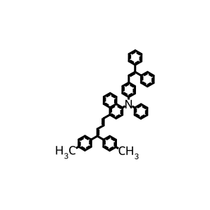 Cc1ccc(C(=C/C=C/c2ccc(N(c3ccccc3)c3ccc(C=C(c4ccccc4)c4ccccc4)cc3)c3ccccc23)c2ccc(C)cc2)cc1